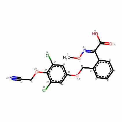 CO/N=C(/C(=O)O)c1ccccc1COc1cc(Cl)c(OCC#N)c(Cl)c1